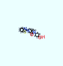 O=C1N(C2CCC(O)CC2)CCC12CCN(c1nc3ccccc3s1)CC2